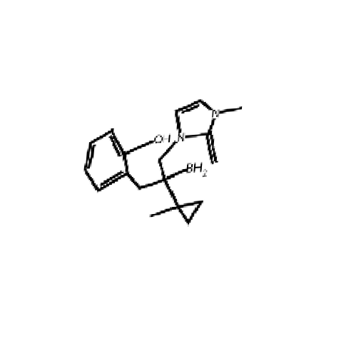 BC(Cc1ccccc1O)(CN1C=CN(C)C1=C)C1(C)CC1